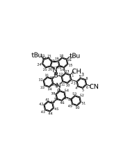 Cc1c(-c2ccc(C#N)cc2)cc2c3c1-c1cc(C(C)(C)C)cc4c5cc(C(C)(C)C)ccc5n(c14)B3c1ccccc1N2c1cc(-c2ccccc2)cc(-c2ccccc2)c1